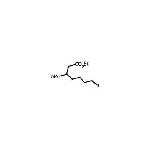 CCCC(CCCCI)CC(=O)OCC